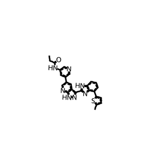 CCC(=O)Nc1cncc(-c2cnc3[nH]nc(-c4nc5c(-c6ccc(C)s6)cccc5[nH]4)c3c2)c1